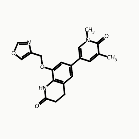 Cc1cc(-c2cc3c(c(OCc4cocn4)c2)NC(=O)CC3)cn(C)c1=O